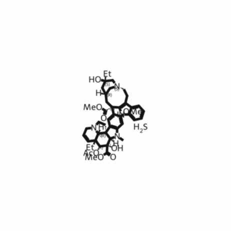 CC[C@]1(O)C[C@@H]2C[N@@](CCc3c([nH]c4ccccc34)[C@@](C(=O)OC)(c3cc4c(cc3OC)N(C)[C@H]3[C@@](O)(C(=O)OC)[C@H](OC(C)=O)[C@]5(CC)C=CCN6CC[C@]43[C@@H]65)C2)C1.S